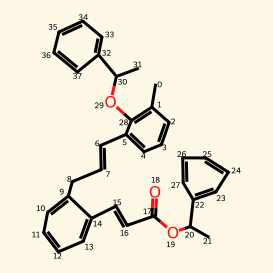 Cc1cccc(/C=C/Cc2ccccc2/C=C/C(=O)OC(C)c2ccccc2)c1OC(C)c1ccccc1